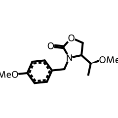 COc1ccc(CN2C(=O)OCC2[C@H](C)OC)cc1